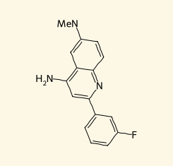 CNc1ccc2nc(-c3cccc(F)c3)cc(N)c2c1